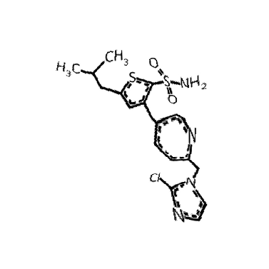 CC(C)Cc1cc(-c2ccc(Cn3ccnc3Cl)nc2)c(S(N)(=O)=O)s1